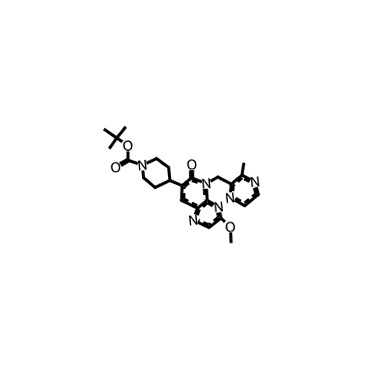 COc1cnc2cc(C3CCN(C(=O)OC(C)(C)C)CC3)c(=O)n(Cc3nccnc3C)c2n1